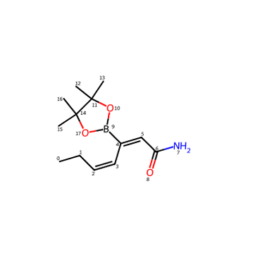 CC/C=C\C(=C/C(N)=O)B1OC(C)(C)C(C)(C)O1